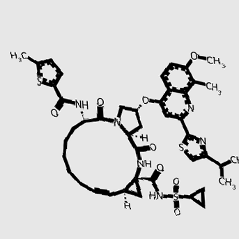 COc1ccc2c(O[C@@H]3C[C@H]4C(=O)N[C@]5(C(=O)NS(=O)(=O)C6CC6)C[C@H]5/C=C\CCCCC[C@H](NC(=O)c5ccc(C)s5)C(=O)N4C3)cc(-c3nc(C(C)C)cs3)nc2c1C